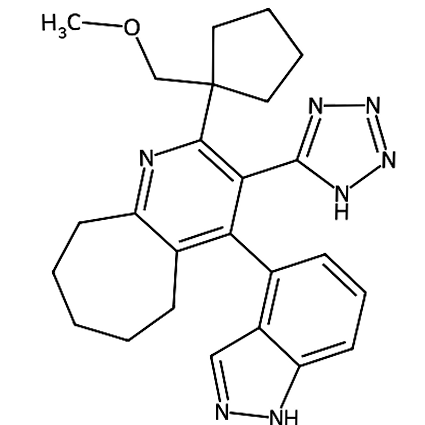 COCC1(c2nc3c(c(-c4cccc5[nH]ncc45)c2-c2nnn[nH]2)CCCCC3)CCCC1